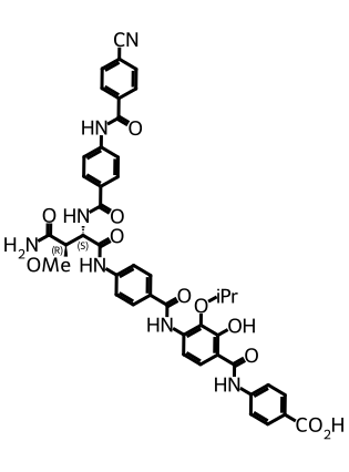 CO[C@@H](C(N)=O)[C@H](NC(=O)c1ccc(NC(=O)c2ccc(C#N)cc2)cc1)C(=O)Nc1ccc(C(=O)Nc2ccc(C(=O)Nc3ccc(C(=O)O)cc3)c(O)c2OC(C)C)cc1